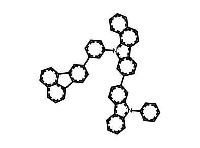 c1ccc(-n2c3ccccc3c3ccc(-c4ccc5c6ccc7ccccc7c6n(-c6cccc(-c7ccc8c(c7)-c7cccc9cccc-8c79)c6)c5c4)cc32)cc1